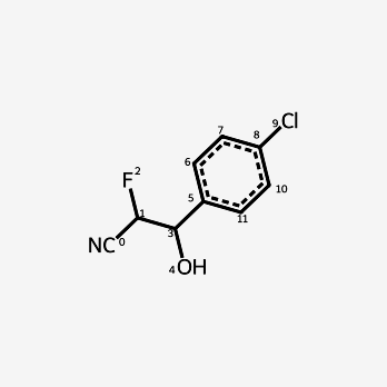 N#CC(F)C(O)c1ccc(Cl)cc1